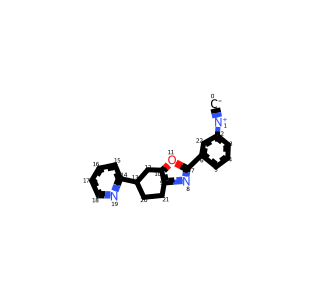 [C-]#[N+]c1cccc(-c2nc3c(o2)CC(c2ccccn2)CC3)c1